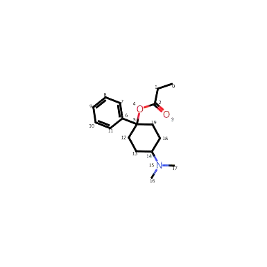 CCC(=O)OC1(c2ccccc2)CCC(N(C)C)CC1